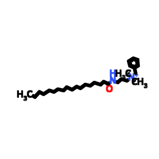 CCCCCCCCCCCCCCCCCC(=O)NCCC[N+](C)(C)Cc1ccccc1